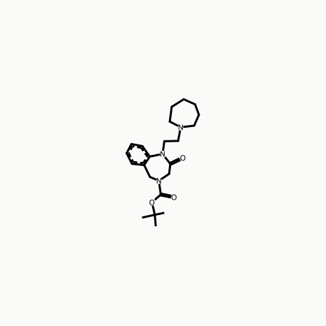 CC(C)(C)OC(=O)N1CC(=O)N(CCN2CCCCCC2)c2ccccc2C1